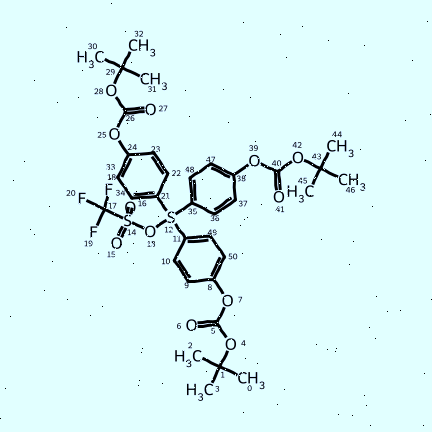 CC(C)(C)OC(=O)Oc1ccc(S(OS(=O)(=O)C(F)(F)F)(c2ccc(OC(=O)OC(C)(C)C)cc2)c2ccc(OC(=O)OC(C)(C)C)cc2)cc1